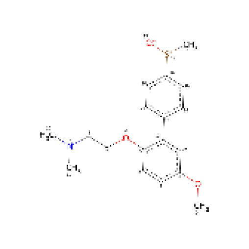 COc1ccc(OCCN(C)C)c(-c2ccc([S+](C)[O-])cc2)c1